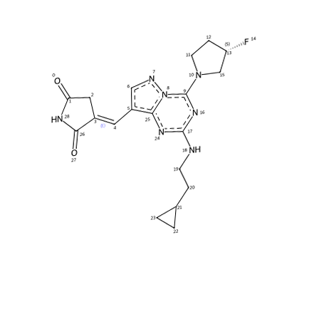 O=C1C/C(=C\c2cnn3c(N4CC[C@H](F)C4)nc(NCCC4CC4)nc23)C(=O)N1